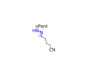 CCCCCN/N=C/CCCC#N